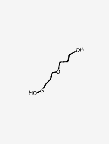 OCCCOCCCSO